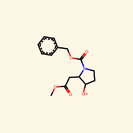 COC(=O)CC1C(O)CCN1C(=O)OCc1ccccc1